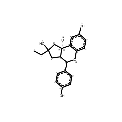 CCC1(O)CC2C(c3ccc(O)cc3)Oc3ccc(O)cc3[C@@H]2C1